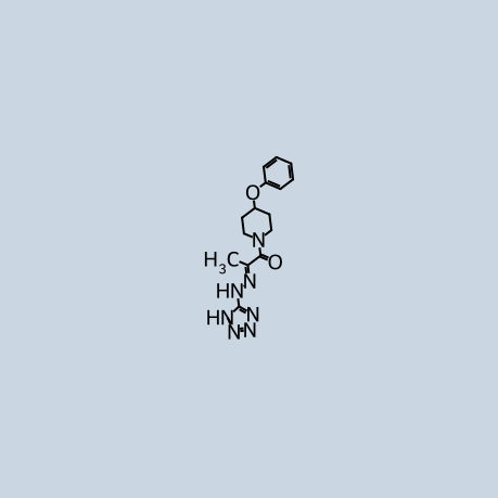 C/C(=N\Nc1nnn[nH]1)C(=O)N1CCC(Oc2ccccc2)CC1